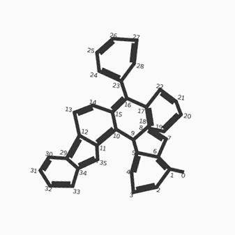 Cc1cccc2c1C=CC2c1c2c(ccc1=C(c1ccccc1)c1ccccc1)=c1ccccc1=[C]2